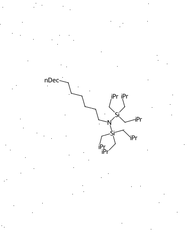 CCCCCCCCCCCCCCCCN([Si](CC(C)C)(CC(C)C)CC(C)C)[Si](CC(C)C)(CC(C)C)CC(C)C